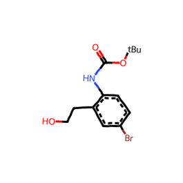 CC(C)(C)OC(=O)Nc1ccc(Br)cc1CCO